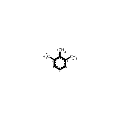 Cc1[c]c[c]c(C)c1C